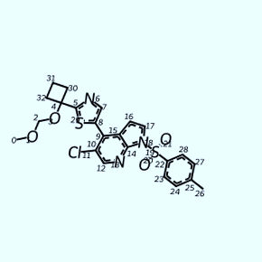 COCOC1(c2ncc(-c3c(Cl)cnc4c3ccn4S(=O)(=O)c3ccc(C)cc3)s2)CCC1